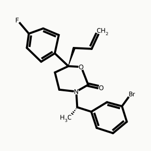 C=CC[C@]1(c2ccc(F)cc2)CCN([C@@H](C)c2cccc(Br)c2)C(=O)O1